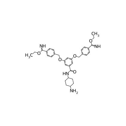 CCOC(=N)c1ccc(COc2cc(OCc3ccc(C(=N)OCC)cc3)cc(C(=O)NC3CCC(N)CC3)c2)cc1